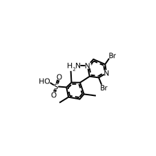 Cc1cc(C)c(S(=O)(=O)O)c(C)c1-c1c(Br)nc(Br)c[n+]1N